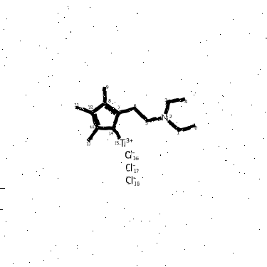 CCN(CC)CCC1=C(C)C(C)=C(C)[CH]1[Ti+3].[Cl-].[Cl-].[Cl-]